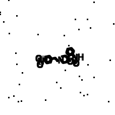 O=C1Nc2ccccc2C2(CCN(CCc3ccc([N+](=O)[O-])cc3)CC2)O1